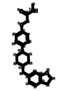 CNC(=O)COc1cnc(N2CCN(Cc3ccc4c(c3)OCC4)CC2)nc1